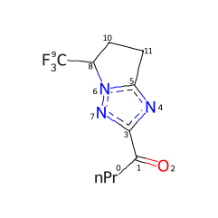 CCCC(=O)c1nc2n(n1)C(C(F)(F)F)CC2